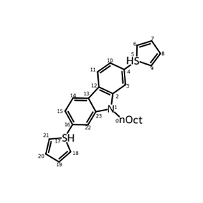 CCCCCCCCn1c2cc([SH]3C=CC=C3)ccc2c2ccc([SH]3C=CC=C3)cc21